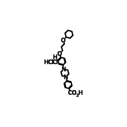 Cl.Cl.O=C(O)c1ccc(N2CCN(c3ccc(OCCCOC4CCCCC4)cc3)CC2)cc1